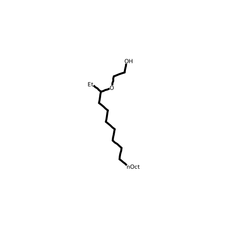 CCCCCCCCCCCCCCCC(CC)OCCO